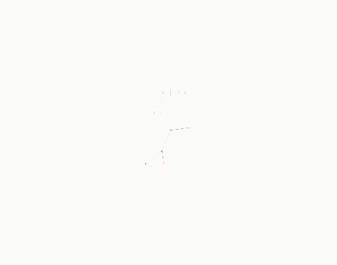 CC(OC=O)C1CO1